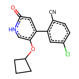 N#Cc1ccc(Cl)cc1-c1cc(=O)[nH]cc1OC1CCC1